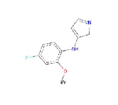 CC(C)Oc1cc(F)ccc1NC1=CC=NC1